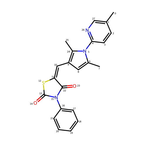 Cc1ccc(-n2c(C)cc(C=C3SC(=O)N(c4ccccc4)C3=O)c2C)nc1